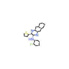 Fc1ccccc1Nc1nc2cc3ccccc3cc2nc1-c1cccs1